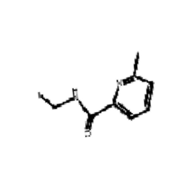 Cc1cccc(C(=O)NCI)n1